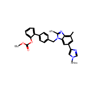 CCCCCCn1cnc(-c2cc(C)c3nc(CCC)n(Cc4ccc(-c5ccccc5OC(=O)OC(C)(C)C)cc4)c3c2)c1